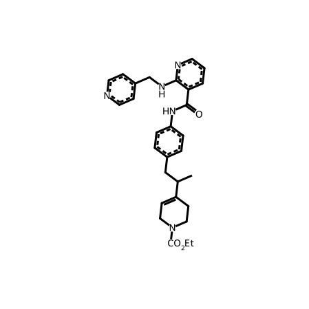 CCOC(=O)N1CC=C(C(C)Cc2ccc(NC(=O)c3cccnc3NCc3ccncc3)cc2)CC1